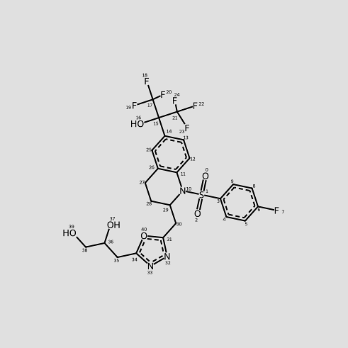 O=S(=O)(c1ccc(F)cc1)N1c2ccc(C(O)(C(F)(F)F)C(F)(F)F)cc2CCC1Cc1nnc(CC(O)CO)o1